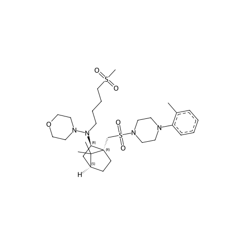 Cc1ccccc1N1CCN(S(=O)(=O)C[C@@]23CC[C@@H](C[C@H]2N(CCCCS(C)(=O)=O)N2CCOCC2)C3(C)C)CC1